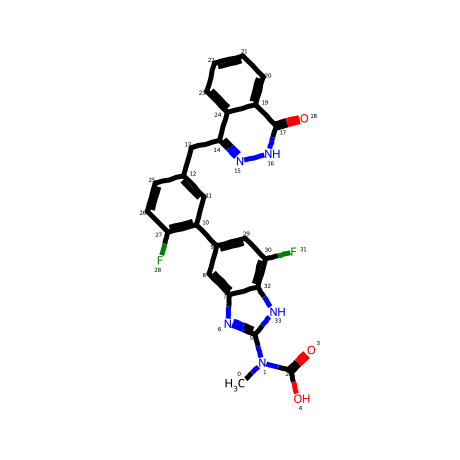 CN(C(=O)O)c1nc2cc(-c3cc(Cc4n[nH]c(=O)c5ccccc45)ccc3F)cc(F)c2[nH]1